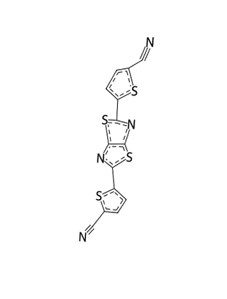 N#Cc1ccc(-c2nc3sc(-c4ccc(C#N)s4)nc3s2)s1